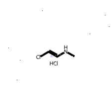 CN/C=C/Cl.Cl